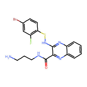 NCCCNC(=O)c1nc2ccccc2nc1NSc1ccc(Br)cc1F